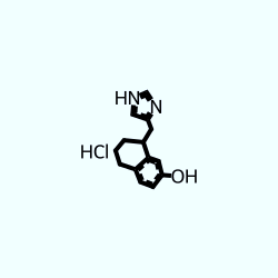 Cl.Oc1ccc2c(c1)C(Cc1c[nH]cn1)CCC2